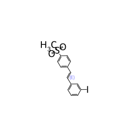 CS(=O)(=O)c1ccc(/C=C/c2cccc(I)c2)cc1